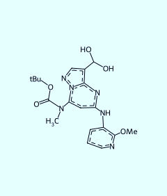 COc1ncccc1Nc1cc(N(C)C(=O)OC(C)(C)C)n2ncc(C(O)O)c2n1